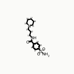 NS(=O)(=O)c1ccc(C(=O)NCCCN2CCCCC2)cc1